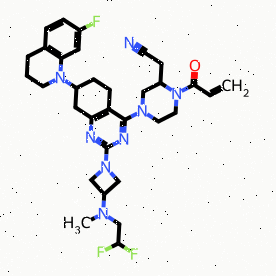 C=CC(=O)N1CCN(c2nc(N3CC(N(C)CC(F)F)C3)nc3c2CCC(N2CCCc4ccc(F)cc42)C3)CC1CC#N